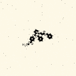 CCOC(=O)c1ccc(OC(OCc2ccccc2)[C@H]2CCCN2OCCC(=O)OCc2ccccc2)cc1